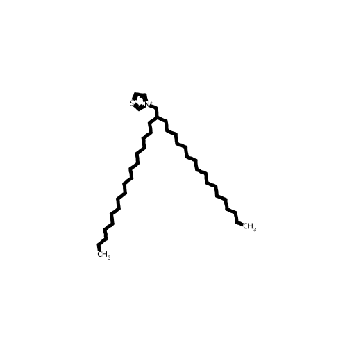 CCCCCCCCCCCCCCCCCCC(CCCCCCCCCCCCCCCCC)C[n+]1ccsc1